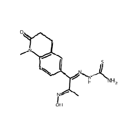 CC(=NO)C(=NNC(N)=S)c1ccc2c(c1)CCC(=O)N2C